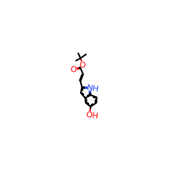 CC(C)(C)OC(=O)/C=C/c1cc2cc(O)ccc2[nH]1